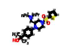 CCCN(CCC)C[C@H]1CN(S(=O)(=O)c2cccs2)CCN1c1ccc([C@@](C)(O)C(F)(F)F)cc1